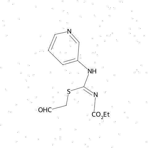 CCOC(=O)/N=C(/Nc1cccnc1)SCC=O